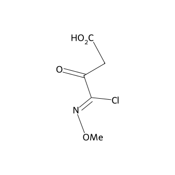 CON=C(Cl)C(=O)CC(=O)O